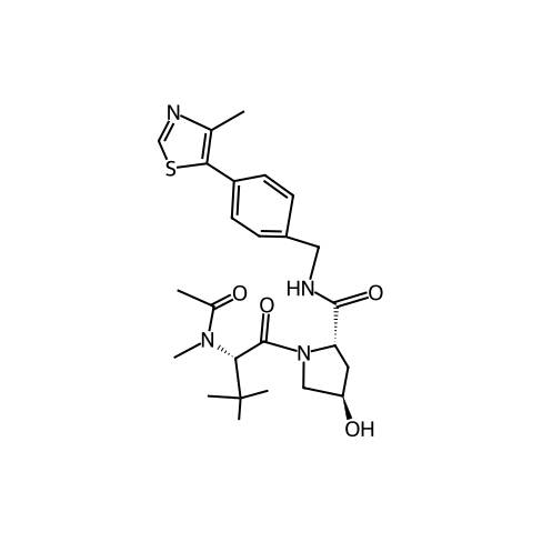 CC(=O)N(C)[C@H](C(=O)N1C[C@H](O)C[C@H]1C(=O)NCc1ccc(-c2scnc2C)cc1)C(C)(C)C